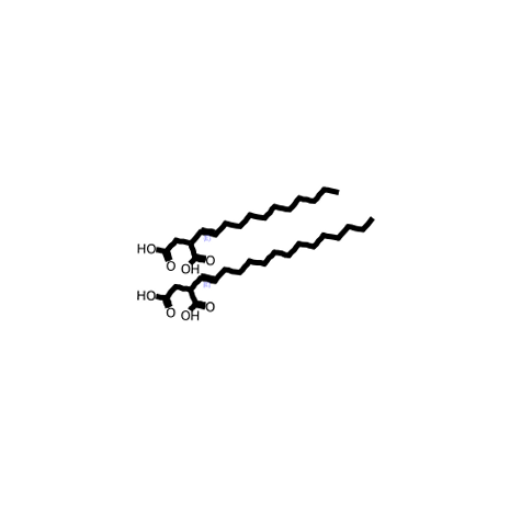 CCCCCCCCCC/C=C/C(CC(=O)O)C(=O)O.CCCCCCCCCCCCC/C=C/C(CC(=O)O)C(=O)O